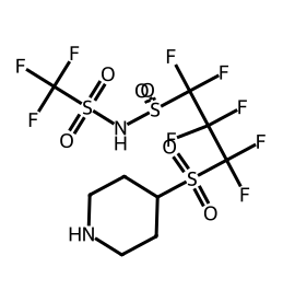 O=S(=O)(NS(=O)(=O)C(F)(F)C(F)(F)C(F)(F)S(=O)(=O)C1CCNCC1)C(F)(F)F